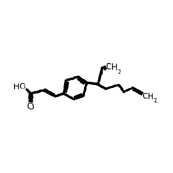 C=CCCCC(C=C)c1ccc(/C=C/C(=O)O)cc1